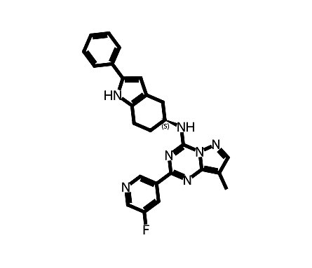 Cc1cnn2c(N[C@H]3CCc4[nH]c(-c5ccccc5)cc4C3)nc(-c3cncc(F)c3)nc12